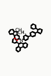 CC1(C)c2ccccc2-c2ccc(N(c3ccc(-c4ccc(-c5ccccc5-c5ccccc5)cc4)cc3)c3c(-c4ccccc4)c4ccccc4c4ccccc34)cc21